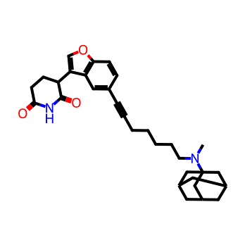 CN(CCCCCC#Cc1ccc2occ(C3CCC(=O)NC3=O)c2c1)C12CC3CC(CC(C3)C1)C2